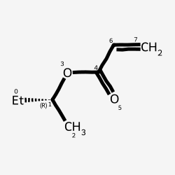 [CH2]C[C@@H](C)OC(=O)C=C